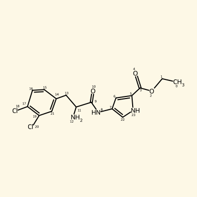 CCOC(=O)c1cc(NC(=O)C(N)Cc2ccc(Cl)c(Cl)c2)c[nH]1